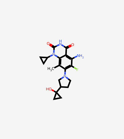 Cc1c(N2CCC(C3(O)CC3)C2)c(F)c(N)c2c(=O)[nH]c(=O)n(C3CC3)c12